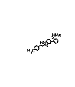 CNSc1ccccc1-c1ccc2[nH]c(/C=C/c3ccc(C)cc3)nc2c1